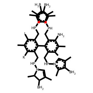 BC1=C(C)N(PCc2c(I)c(C)[c]([K])c(CPN3C=C(C)C(B)C3C)c2-c2c(CPn3cc(C)c(B)c3C)c(C)c(C)c(N)c2CPn2cc(C)c(B)c2C)CC1C